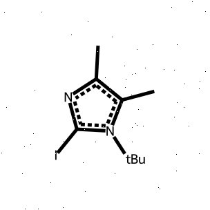 Cc1nc(I)n(C(C)(C)C)c1C